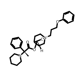 C[C@](C(=O)O[C@H]1C[N+]2(CCCOc3ccccc3)CCC1CC2)(c1ccccc1)N1CCCCC1